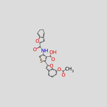 CC(=O)Oc1cccc2cc(-c3scc(NC(=O)c4cc5c(o4)=CCCC=5)c3C(=O)O)oc12